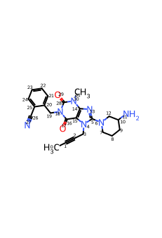 CC#CCn1c(N2CCCC(N)C2)nc2c1c(=O)n(Cc1ccccc1C#N)c(=O)n2C